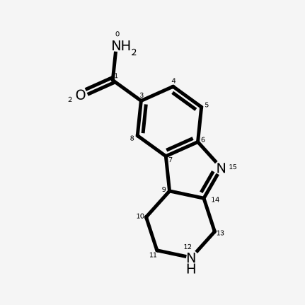 NC(=O)c1ccc2c(c1)C1CCNCC1=N2